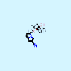 CC(C)(O)C(C)(C)OBc1ccc2n1CC(C#N)=C2